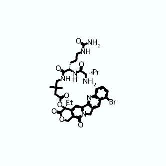 CC[C@@]1(OC(=O)CC(C)(C)CNC(=O)[C@H](CCCNC(N)=O)NC(=O)[C@@H](N)C(C)C)C(=O)OCc2c1cc1n(c2=O)Cc2cc3c(Br)cccc3nc2-1